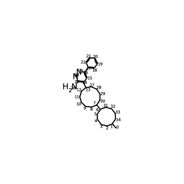 CC1CCCCC(C2CCCCCC(c3cc(-c4ccccc4)nnc3N)CCCC2)CCCC1